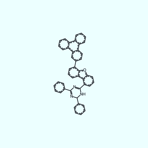 c1ccc(C2=NC(c3ccccc3)NC(c3cccc4oc5c(-c6ccc7c8ccccc8c8ccccc8c7c6)cccc5c34)=N2)cc1